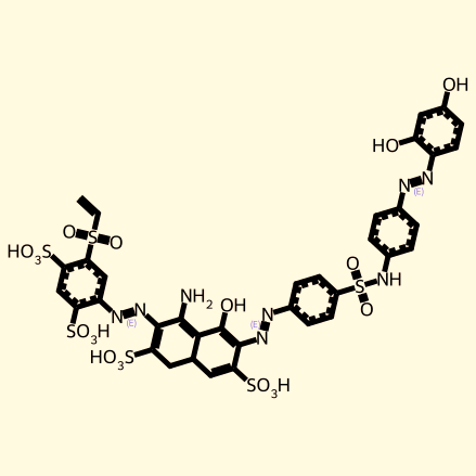 C=CS(=O)(=O)c1cc(/N=N/C2=C(S(=O)(=O)O)CC3C=C(S(=O)(=O)O)C(/N=N/c4ccc(S(=O)(=O)Nc5ccc(/N=N/c6ccc(O)cc6O)cc5)cc4)=C(O)C3=C2N)c(S(=O)(=O)O)cc1S(=O)(=O)O